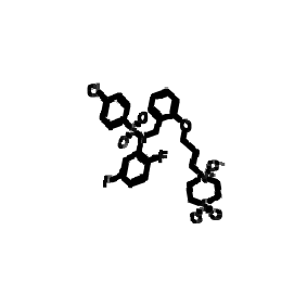 O=S1(=O)CC[N+]([O-])(CCCOc2ccccc2CN(c2cc(F)ccc2F)S(=O)(=O)c2ccc(Cl)cc2)CC1